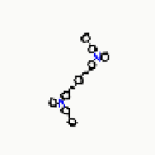 C(=Cc1ccc(N(c2ccccc2)c2ccc(-c3ccccc3)cc2)cc1)c1ccc(C=Cc2ccc(N(c3ccccc3)c3ccc(-c4ccccc4)cc3)cc2)cc1